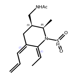 C=C/C=C1/C[C@@H](CNC(C)=O)[C@@H](C)N([SH](=O)=O)/C1=C/C